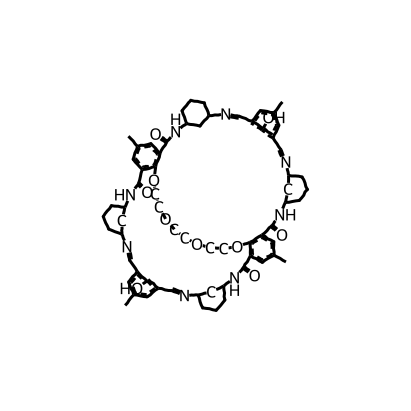 Cc1cc2c(O)c(c1)/C=N\C1CCCC(C1)NC(=O)c1cc(C)cc3c1OCCOCCOCCOc1c(cc(C)cc1C(=O)NC1CCCC(C1)/N=C/c1cc(C)cc(c1O)/C=N/C1CCCC(C1)NC3=O)C(=O)NC1CCCC(C1)/N=C\2